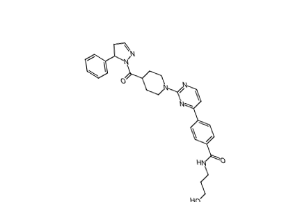 O=C(NCCCO)c1ccc(-c2ccnc(N3CCC(C(=O)N4N=CCC4c4ccccc4)CC3)n2)cc1